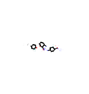 NC(=O)c1ccc(CN2Cc3cccc(Oc4ccc(C(F)(F)F)cc4F)c3C2=O)cc1F